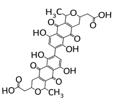 CC1OC(CC(=O)O)CC2=C1C(=O)c1c(O)cc(-c3cc(O)c4c(c3O)C(=O)C3=C(C4=O)C(C)OC(CC(=O)O)C3)c(O)c1C2=O